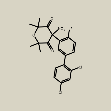 CCc1ccc(-c2ccc(Cl)cc2Cl)cc1C1([N+](=O)[O-])C(=O)C(C)(C)OC(C)(C)C1=O